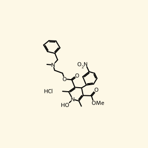 COC(=O)C1=C(C)N(O)C(C)=C(C(=O)OCCN(C)Cc2ccccc2)C1c1cccc([N+](=O)[O-])c1.Cl